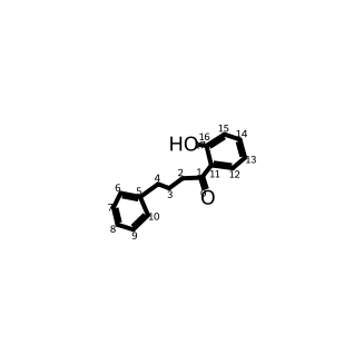 O=C(CCCc1ccccc1)c1ccccc1O